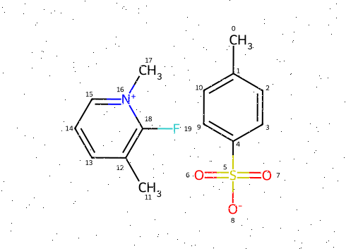 Cc1ccc(S(=O)(=O)[O-])cc1.Cc1ccc[n+](C)c1F